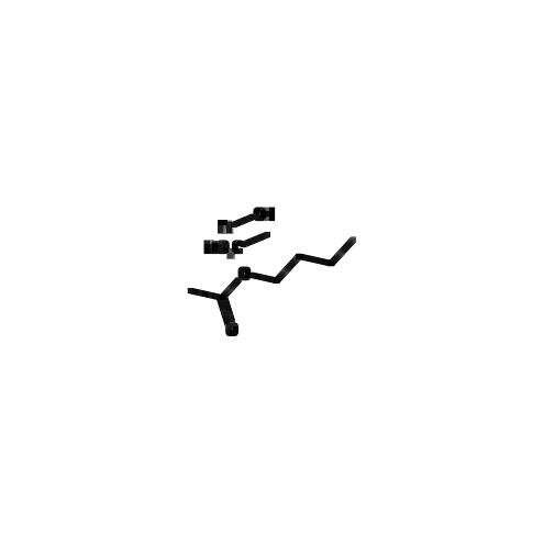 CCCCOC(C)=O.CCO.CCOC(C)=O